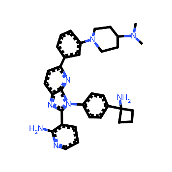 CN(C)C1CCN(c2cccc(-c3ccc4nc(-c5cccnc5N)n(-c5ccc(C6(N)CCC6)cc5)c4n3)c2)CC1